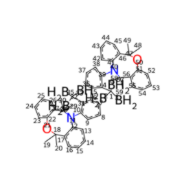 BC(B)(B)c1c(-c2cccc(N3c4ccccc4C(C)(C)Oc4ccccc4C3(C)C)c2C(B)(B)B)cccc1N1c2ccccc2C(C)(C)Oc2ccccc2C1(C)C